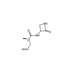 CCCCCCC[C@@H](C)C(=O)NC1CNC1=O